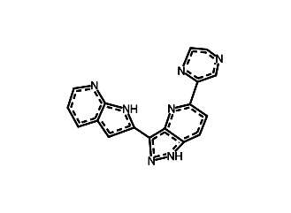 c1cnc2[nH]c(-c3n[nH]c4ccc(-c5cnccn5)nc34)cc2c1